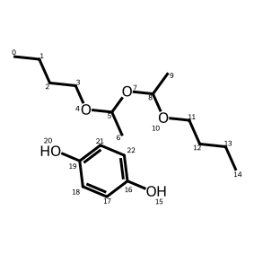 CCCCOC(C)OC(C)OCCCC.Oc1ccc(O)cc1